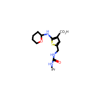 CC(C)NC(=O)NCc1cc(C(=O)O)c(NC2CCCCO2)s1